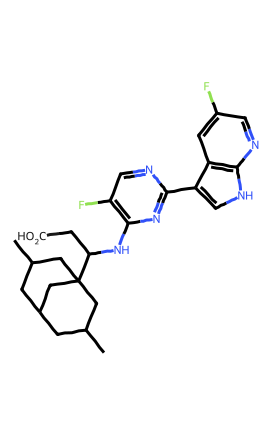 CC1CC2CC(C)CC(C(CC(=O)O)Nc3nc(-c4c[nH]c5ncc(F)cc45)ncc3F)(C1)C2